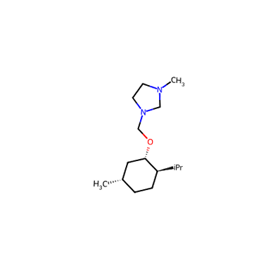 CC(C)[C@H]1CC[C@H](C)C[C@@H]1OCN1CCN(C)C1